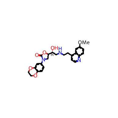 COc1ccc2nccc(CCNC[C@@H](O)C3CN(c4ccc5c(c4)OCCO5)C(=O)O3)c2c1